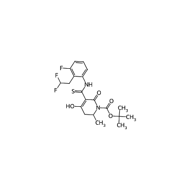 CC1CC(O)=C(C(=S)Nc2cccc(F)c2CC(F)F)C(=O)N1C(=O)OC(C)(C)C